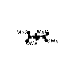 COc1cccc(/C=C/c2cc(/C=C/c3ccc(/C(=C(\c4ccccc4)c4ccc(/C=C/c5cc(/C=C/c6cccc(OC)c6)cc(/C=C/c6cccc(OC)c6)c5)cc4)c4ccccc4)cc3)cc(/C=C/c3cccc(OC)c3)c2)c1